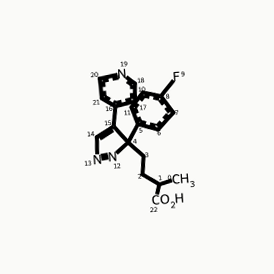 CC(CCC1(c2ccc(F)cc2)N=NC=C1c1ccncc1)C(=O)O